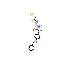 CC(C(=O)N/C=N/C(=S)CS)c1ccc(OCc2ccc(F)cc2)cc1